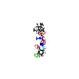 CC1(C)[C@@H]2C[C@H]3OB(CNC(=O)CNC(=O)c4cc(Cl)ccc4F)O[C@@]3(C)[C@H]1C2